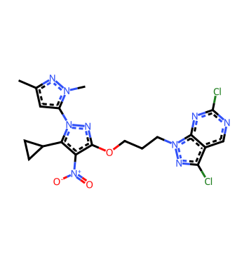 Cc1cc(-n2nc(OCCCn3nc(Cl)c4cnc(Cl)nc43)c([N+](=O)[O-])c2C2CC2)n(C)n1